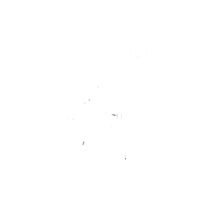 C[C@H](CCC(=O)O)[C@H]1CC[C@H]2C3C(=O)[C@H](O)C4C[C@H](O)CCC4(C)[C@H]3CCC12C